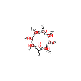 CC(C)C[C@H](C)C1=CC2CC3=CC([C@@H](C)CC(C)C)=CC(CC4C=C([C@@H](C)CC(C)(C)C)C=C(CC5C=C(C(C)(C)CC(C)(C)C)C=C(CC6=CC(C(C)(C)CC(C)(C)C)=CC(CC7C=C(C(C)(C)CC(C)(C)C)C=C(CC8C=C(C(C)(C)CC(C)(C)C)C=C(CC9=CC([C@H](C)CC(C)(C)C)=CC(CC(=C1)C2O)C9O)C8O)C7O)C6O)C5O)C4O)C3O